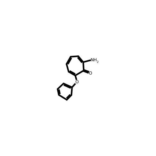 Nc1ccccc(Oc2ccccc2)c1=O